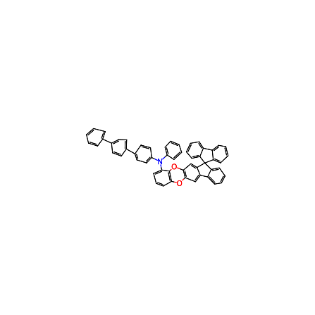 c1ccc(-c2ccc(-c3ccc(N(c4ccccc4)c4cccc5c4Oc4cc6c(cc4O5)-c4ccccc4C64c5ccccc5-c5ccccc54)cc3)cc2)cc1